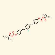 C=C(C)C(=O)OC(=O)Oc1ccc(/C=C/c2ccc(/C=C/c3ccc(OC(=O)OC(=O)C(=C)C)cc3)c(F)c2)cc1